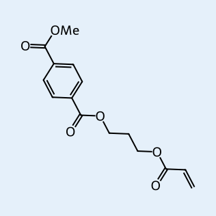 C=CC(=O)OCCCOC(=O)c1ccc(C(=O)OC)cc1